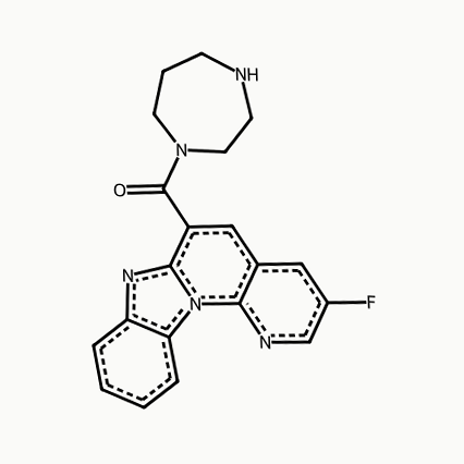 O=C(c1cc2cc(F)cnc2n2c1nc1ccccc12)N1CCCNCC1